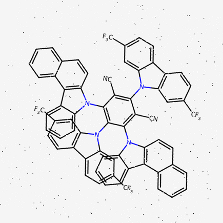 N#Cc1c(-n2c3cc(C(F)(F)F)ccc3c3ccc(C(F)(F)F)cc32)c(C#N)c(-n2c3ccccc3c3c4ccccc4ccc32)c(-n2c3cc(C(F)(F)F)ccc3c3ccc(C(F)(F)F)cc32)c1-n1c2ccccc2c2c3ccccc3ccc21